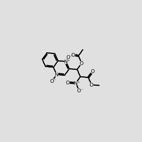 COC(=O)C(C(OC(C)=O)c1c[n+]([O-])c2ccccc2[n+]1[O-])[N+](=O)[O-]